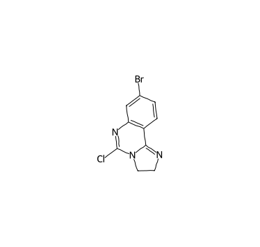 ClC1=Nc2cc(Br)ccc2C2=NCCN12